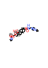 CC(C)[C@@H](OC(=O)N1CCC1)[C@H]1C[C@@H](C)[C@H]2[C@H](O1)[C@H](O)[C@@]1(C)[C@@H]3CC[C@H]4C(C)(C)[C@@H](OC(=O)NCCN5CCN(C6CCC6)CC5)CC[C@@]45CC35CC[C@]21C